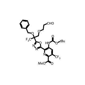 COC(=O)c1nc(-c2nnc(C(COCCC=O)(OCc3ccccc3)C(F)(F)F)o2)c(NC(=O)OC(C)(C)C)cc1C(F)(F)F